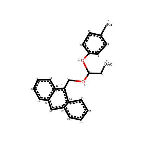 CCC(C)c1ccc(OC(COC(C)=O)OCc2c3ccccc3cc3ccccc23)cc1